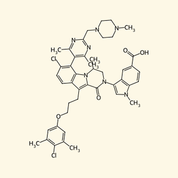 Cc1cc(OCCCc2c3n(c4c(-c5c(C)nc(CN6CCN(C)CC6)nc5C)c(Cl)ccc24)C(C)CN(c2cn(C)c4ccc(C(=O)O)cc24)C3=O)cc(C)c1Cl